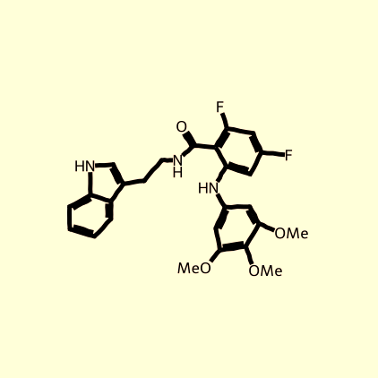 COc1cc(Nc2cc(F)cc(F)c2C(=O)NCCc2c[nH]c3ccccc23)cc(OC)c1OC